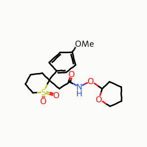 COc1ccc(C2(CC(=O)NOC3CCCCO3)CCCCS2(=O)=O)cc1